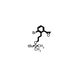 CC(C)(C)[Si](C)(C)OCCCc1c(Br)cccc1C1CO1